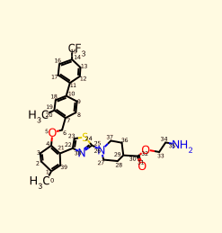 Cc1ccc(OCc2ccc(-c3ccc(C(F)(F)F)cc3)cc2C)c(-c2csc(N3CCC(C(=O)OCCN)CC3)n2)c1